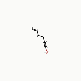 C=CCCC#CBr